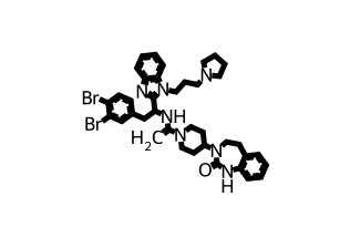 C=C(NC(Cc1ccc(Br)c(Br)c1)c1nc2ccccc2n1CCCN1CCCC1)N1CCC(N2CCc3ccccc3NC2=O)CC1